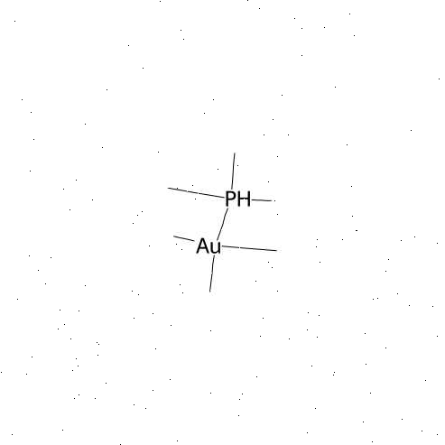 C[PH](C)(C)[Au]([CH3])([CH3])[CH3]